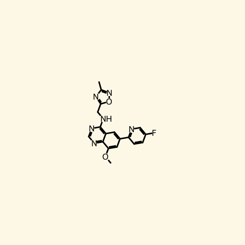 COc1cc(-c2ccc(F)cn2)cc2c(NCc3nc(C)no3)ncnc12